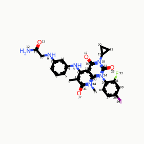 Cc1c(Nc2cccc(NCC(N)=O)c2)c2c(=O)n(C3CC3)c(=O)n(-c3ccc(I)cc3F)c2n(C)c1=O